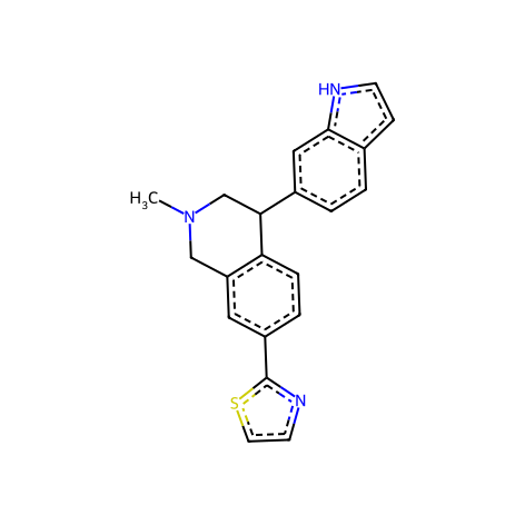 CN1Cc2cc(-c3nccs3)ccc2C(c2ccc3cc[nH]c3c2)C1